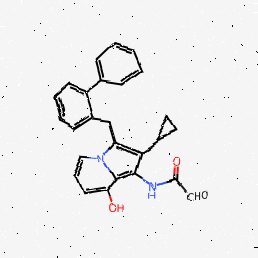 O=CC(=O)Nc1c(C2CC2)c(Cc2ccccc2-c2ccccc2)n2cccc(O)c12